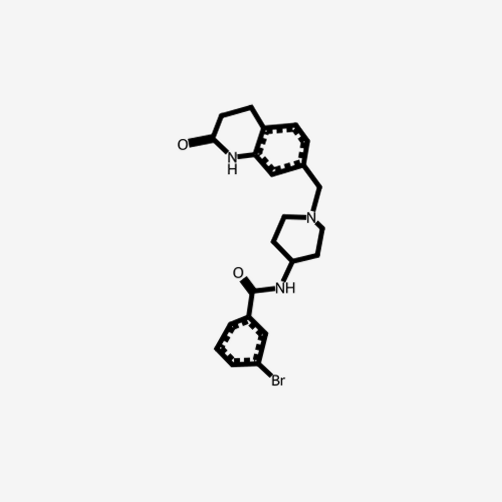 O=C1CCc2ccc(CN3CCC(NC(=O)c4cccc(Br)c4)CC3)cc2N1